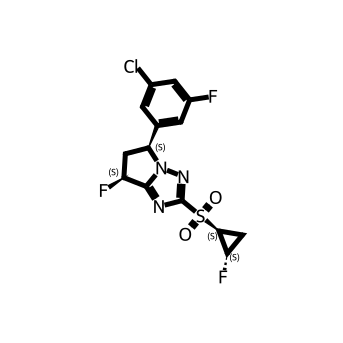 O=S(=O)(c1nc2n(n1)[C@H](c1cc(F)cc(Cl)c1)C[C@@H]2F)[C@H]1C[C@@H]1F